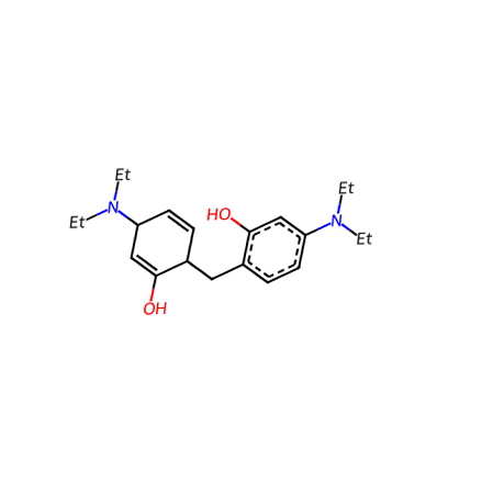 CCN(CC)c1ccc(CC2C=CC(N(CC)CC)C=C2O)c(O)c1